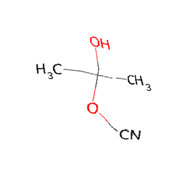 CC(C)(O)OC#N